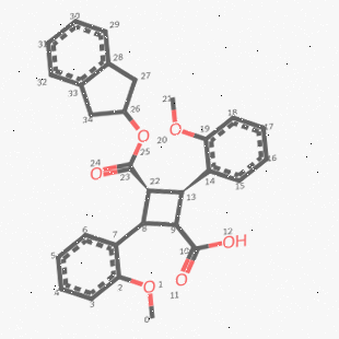 COc1ccccc1C1C(C(=O)O)[C@H](c2ccccc2OC)[C@@H]1C(=O)OC1Cc2ccccc2C1